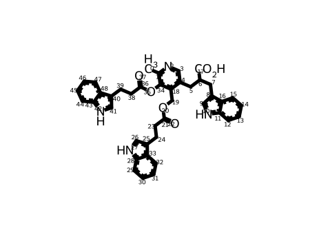 Cc1ncc(CC(Cc2c[nH]c3ccccc23)C(=O)O)c(COC(=O)CCc2c[nH]c3ccccc23)c1OC(=O)CCc1c[nH]c2ccccc12